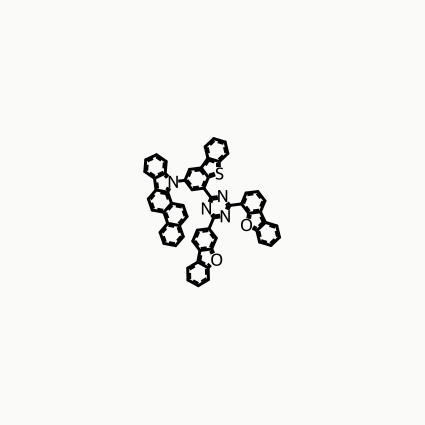 c1ccc2c(c1)ccc1c2ccc2c3ccccc3n(-c3cc(-c4nc(-c5ccc6c(c5)oc5ccccc56)nc(-c5cccc6c5oc5ccccc56)n4)c4sc5ccccc5c4c3)c12